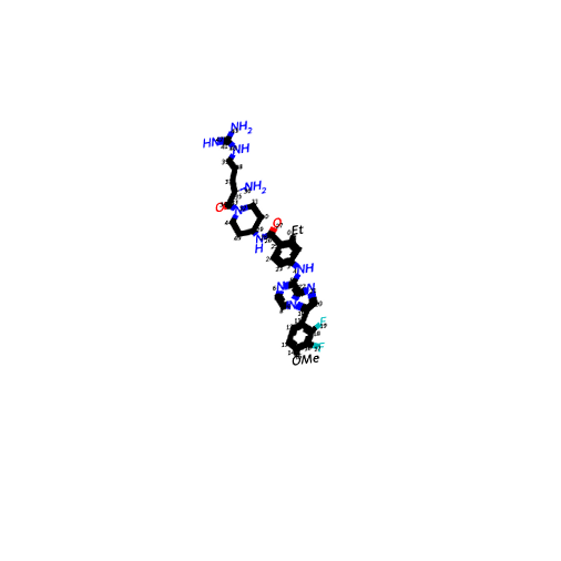 CCc1cc(Nc2nccn3c(-c4ccc(OC)c(F)c4F)cnc23)ccc1C(=O)NC1CCN(C(=O)[C@@H](N)CCCNC(=N)N)CC1